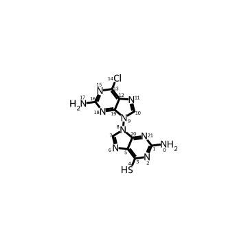 Nc1nc(S)c2ncn(-n3cnc4c(Cl)nc(N)nc43)c2n1